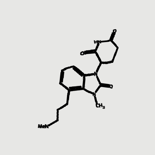 CNCCCc1cccc2c1n(C)c(=O)n2C1CCC(=O)NC1=O